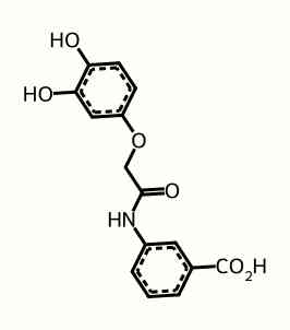 O=C(COc1ccc(O)c(O)c1)Nc1cccc(C(=O)O)c1